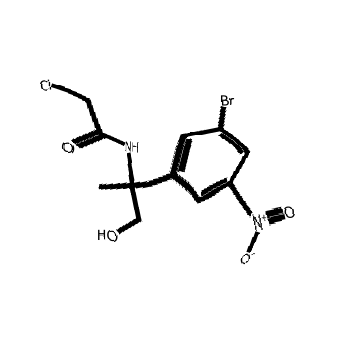 CC(CO)(NC(=O)CCl)c1cc(Br)cc([N+](=O)[O-])c1